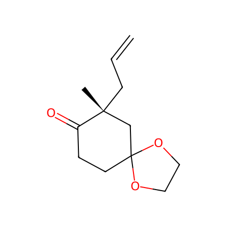 C=CC[C@]1(C)CC2(CCC1=O)OCCO2